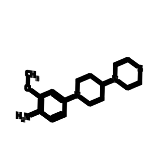 COc1cc(N2CCC(N3CCSCC3)CC2)ccc1N